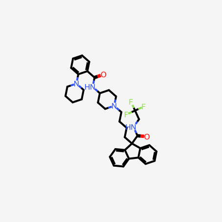 O=C(NC1CCN(CCCCC2(C(=O)NCC(F)(F)F)c3ccccc3-c3ccccc32)CC1)c1ccccc1N1CCCCC1